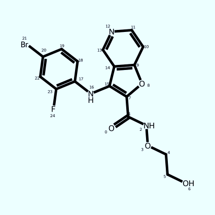 O=C(NOCCO)c1oc2ccncc2c1Nc1ccc(Br)cc1F